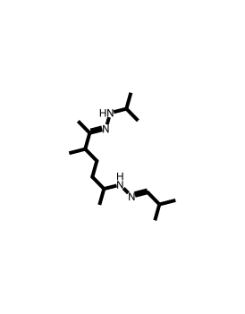 C/C(=N\NC(C)C)C(C)CCC(C)N/N=C/C(C)C